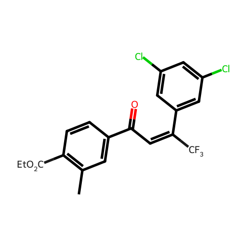 CCOC(=O)c1ccc(C(=O)C=C(c2cc(Cl)cc(Cl)c2)C(F)(F)F)cc1C